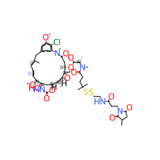 COc1cc2cc(c1Cl)N(C)C(=O)C[C@H](OC(=O)[C@H](C)N(C)C(=O)CCC(C)(C)SSCCNC(=O)CCN1C(=O)CC(C)C1=O)[C@]1(C)O[C@H]1[C@H](C)[C@@H]1C[C@@](O)(NC(=O)O1)[C@H](OC)/C=C/C=C(\C)C2